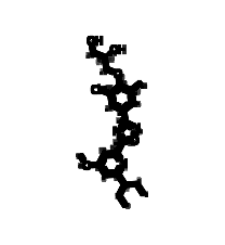 CCC(CC)c1cc(OC)cc(-c2nc(-c3cc(C)c(OC[C@@H](O)CO)c(Cl)c3)no2)n1